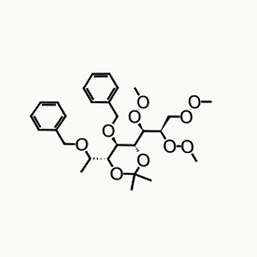 COOC[C@@H](OOC)[C@H](OOC)[C@@H]1OC(C)(C)O[C@H](C(C)OCc2ccccc2)[C@H]1OCc1ccccc1